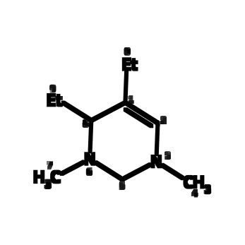 CCC1=CN(C)CN(C)C1CC